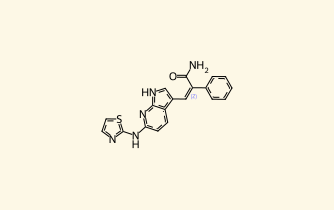 NC(=O)/C(=C\c1c[nH]c2nc(Nc3nccs3)ccc12)c1ccccc1